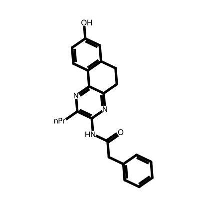 CCCc1nc2c(nc1NC(=O)Cc1ccccc1)CCc1cc(O)ccc1-2